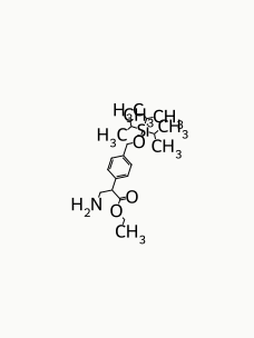 CCOC(=O)C(CN)c1ccc(CO[Si](C(C)C)(C(C)C)C(C)C)cc1